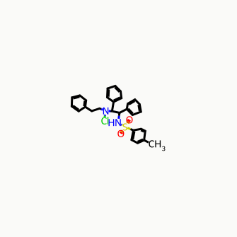 Cc1ccc(S(=O)(=O)NC(c2ccccc2)C(c2ccccc2)N(Cl)CCc2ccccc2)cc1